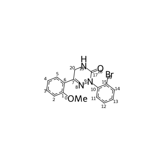 COc1ccccc1C1=NN(c2ccccc2Br)C(=O)NC1